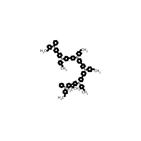 C=Cc1ccc(N(c2ccc(-c3ccc(N(c4ccc(C=C)cc4)c4ccc(-c5ccc(N(c6ccc(C=C)cc6)c6ccc7c(c6)C(C)(C)c6cc(N(c8ccccc8)c8ccc(C=C)cc8)ccc6-7)cc5)cc4)cc3)cc2)c2ccc(-c3ccc(N(c4ccc(-c5ccc(N(c6ccccc6)c6cccc(C=C)c6)cc5)cc4)c4cccc(C=C)c4)cc3)cc2)cc1